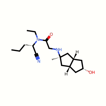 CCC[C@@H](C#N)N(CC)C(=O)CN[C@]1(C)C[C@H]2C[C@@H](O)C[C@H]2C1